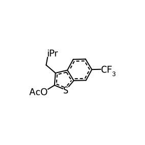 CC(=O)Oc1sc2cc(C(F)(F)F)ccc2c1CC(C)C